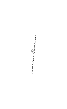 CCCCCCCCCCCCCCCCCC(CCCCCCCCCCCC)[N+](C)(C)C